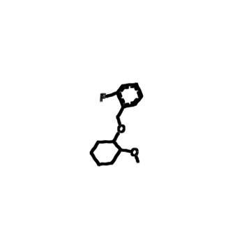 COC1CCCCC1OCc1ccccc1F